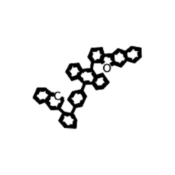 c1ccc(-c2ccc3ccccc3c2)c(-c2ccc(-c3c4ccccc4c(-c4cccc5c4oc4cc6ccccc6cc45)c4ccccc34)cc2)c1